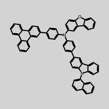 c1ccc2c(-n3c4ccccc4c4cc(-c5ccc(N(c6ccc(-c7ccc8c9ccccc9c9ccccc9c8c7)cc6)c6ccc7oc8ccccc8c7c6)cc5)ccc43)cccc2c1